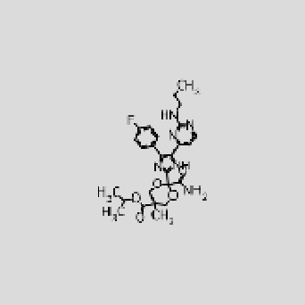 CCCNc1nccc(-c2[nH]c(C3(C(N)=O)OCC(C)(C(=O)OC(C)C)CO3)nc2-c2ccc(F)cc2)n1